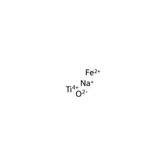 [Fe+2].[Na+].[O-2].[Ti+4]